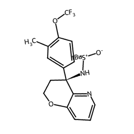 Cc1cc([C@@]2(N[S@@+]([O-])C(C)(C)C)CCOc3cccnc32)ccc1OC(F)(F)F